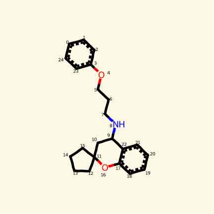 c1ccc(OCCCNC2CC3(CCCC3)Oc3ccccc32)cc1